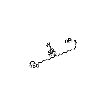 CCCC/C=C\C/C=C\CCCCCCCCC(CCCCCCCC/C=C\C/C=C\CCCC)OP(O)(=S)OCCN(C)C